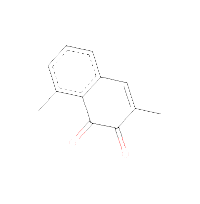 CC1=Cc2cccc(C)c2C(=O)C1=O